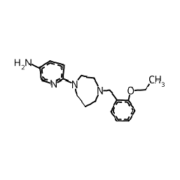 CCOc1ccccc1CN1CCCN(c2ccc(N)cn2)CC1